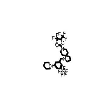 O=C(OC(C(F)(F)F)C(F)(F)F)N1CCC2(CCCN2Cc2cc(N3CCCCC3)cc(S(F)(F)(F)(F)F)c2)CC1